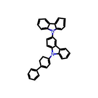 C1=C(c2ccccc2)CCC(n2c3ccccc3c3cc(-n4c5ccccc5c5ccccc54)ccc32)=C1